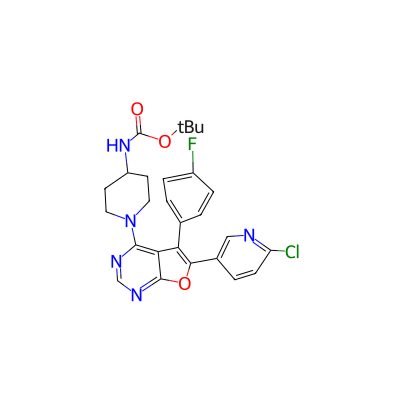 CC(C)(C)OC(=O)NC1CCN(c2ncnc3oc(-c4ccc(Cl)nc4)c(-c4ccc(F)cc4)c23)CC1